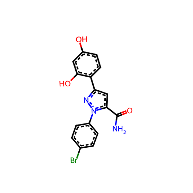 NC(=O)c1cc(-c2ccc(O)cc2O)nn1-c1ccc(Br)cc1